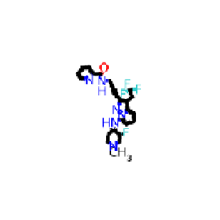 CN1CC[C@@H](Nc2cccc3c(CC(F)(F)F)c(C#CCNC(=O)c4ccccn4)nn23)[C@@H](F)C1